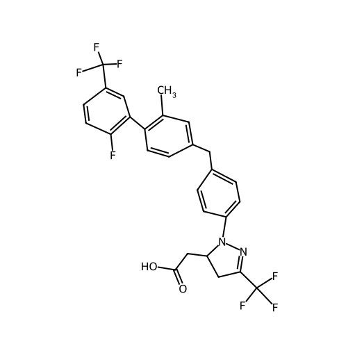 Cc1cc(Cc2ccc(N3N=C(C(F)(F)F)CC3CC(=O)O)cc2)ccc1-c1cc(C(F)(F)F)ccc1F